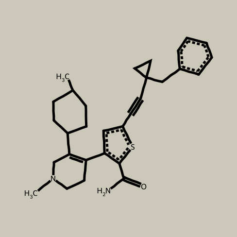 CC1CCC(C2=C(c3cc(C#CC4(Cc5ccccc5)CC4)sc3C(N)=O)CCN(C)C2)CC1